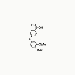 COc1ccc(Oc2ccc(B(O)O)cc2)cc1OC